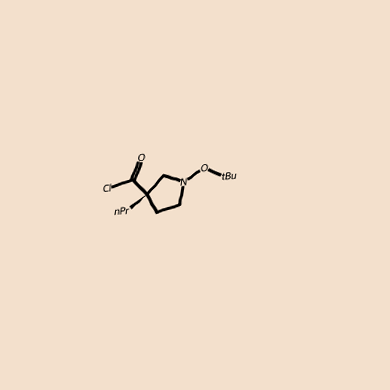 CCC[C@]1(C(=O)Cl)CCN(OC(C)(C)C)C1